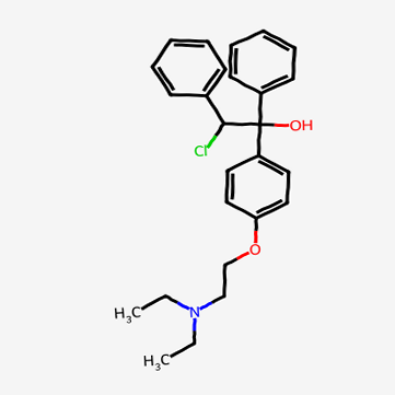 CCN(CC)CCOc1ccc(C(O)(c2ccccc2)C(Cl)c2ccccc2)cc1